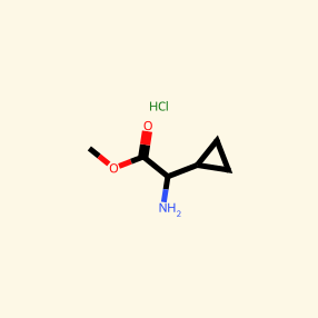 COC(=O)C(N)C1CC1.Cl